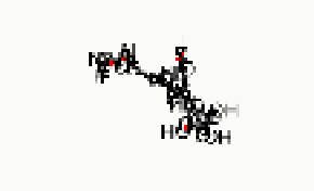 N#C[C@H]1CC(F)(F)CN1C(=O)CNC(=O)c1ccnc2ccc(OCCCCC3CCN(C(=O)CCCN4C(=O)CC(SC(CCCCCNC(=O)CCCc5ccc(I)cc5)CNC(=O)CN5CCN(CC(=O)O)CCN(CC(=O)O)CCN(CC(=O)O)CC5)C4=O)CC3)cc12